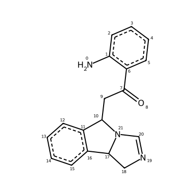 Nc1ccccc1C(=O)CC1c2ccccc2C2CN=CN21